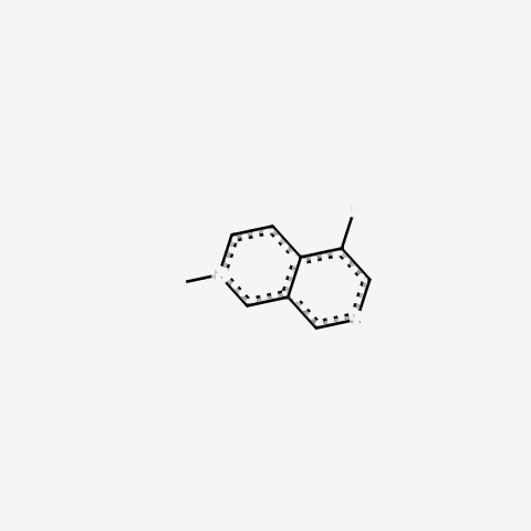 O[n+]1ccc2c(Br)cncc2c1